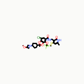 COC1CN(C2CCC(C3(C)Oc4c(Cl)cc(C(=O)NCc5c(SC)cc(C)[nH]c5=O)c(OC(F)(F)F)c4O3)CC2)C1